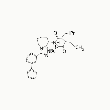 C=CCC(C(=O)OC(C)(C)C)C(CC(C)C)C(=O)NC1CCCCn2c(-c3cccc(-c4ccccc4)c3)nnc21